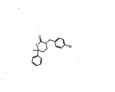 CC1(c2ccccc2)CCN(Cc2ccc(Br)cc2)C(=O)O1